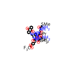 CSC[C@H](N)C(=O)NCC(=O)N[C@@H](CC(C)C)C(=O)N1CCC[C@H]1C(=O)N(CCCNc1cccc2c1C(=O)c1ccccc1C2=O)C(=O)[C@H](Cc1ccc(OC(=O)C(F)(F)F)cc1)NC(=O)[C@H](C)NC(=O)[C@@H](C)N